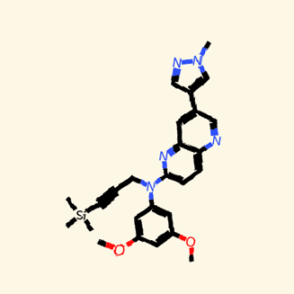 COc1cc(OC)cc(N(CC#C[Si](C)(C)C)c2ccc3ncc(-c4cnn(C)c4)cc3n2)c1